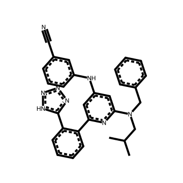 CC(C)CN(Cc1ccccc1)c1cc(Nc2cccc(C#N)c2)cc(-c2ccccc2-c2nnn[nH]2)n1